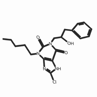 CCCCCn1c(=O)n(CC(O)Cc2ccccc2)c(=O)c2[nH]c(Cl)nc21